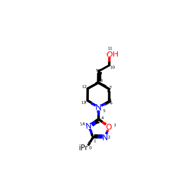 CC(C)c1noc(N2CCC(=CCO)CC2)n1